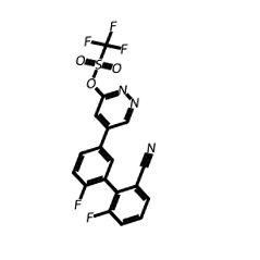 N#Cc1cccc(F)c1-c1cc(-c2cnnc(OS(=O)(=O)C(F)(F)F)c2)ccc1F